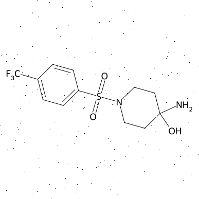 NC1(O)CCN(S(=O)(=O)c2ccc(C(F)(F)F)cc2)CC1